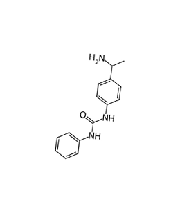 CC(N)c1ccc(NC(=O)Nc2ccccc2)cc1